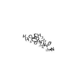 CC(C)(C)OC(=O)N1CCN(C(=O)CC#N)CC1